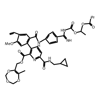 C=Cc1cc(C(=O)Nc2ccc(C(=N)NC(=O)OC(C)OC(=O)C(C)C)cc2)c(-c2ccc(C(=O)NCC3CC3)nc2C(=O)OCC2=C(C)OCOCO2)cc1OC